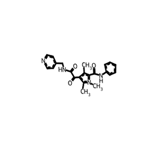 Cc1c(C(=O)C(=O)NCc2ccncc2)c(C)n(C)c1C(=O)Nc1ccccc1